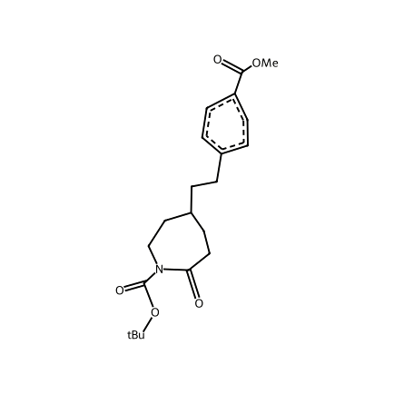 COC(=O)c1ccc(CCC2CCC(=O)N(C(=O)OC(C)(C)C)CC2)cc1